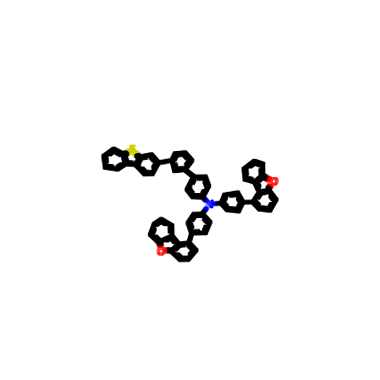 c1cc(-c2ccc(N(c3ccc(-c4cccc5oc6ccccc6c45)cc3)c3ccc(-c4cccc5oc6ccccc6c45)cc3)cc2)cc(-c2ccc3c(c2)sc2ccccc23)c1